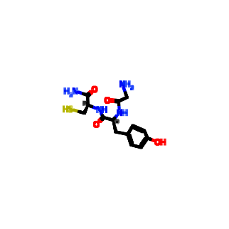 NCC(=O)N[C@@H](Cc1ccc(O)cc1)C(=O)N[C@@H](CS)C(N)=O